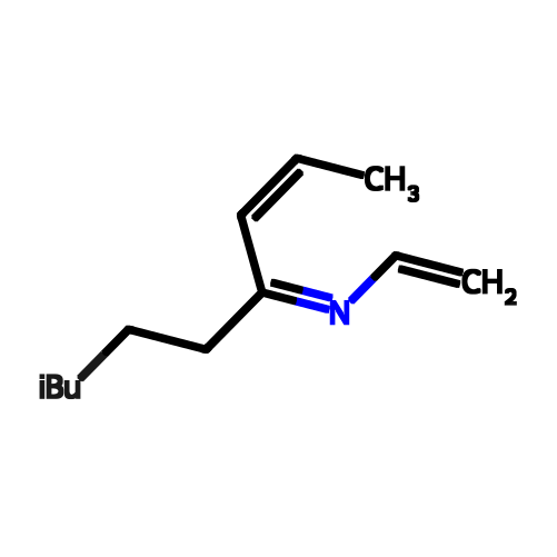 C=C/N=C(\C=C/C)CCC(C)CC